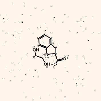 O=C(O)C1Cc2ccccc2N1.OCCO